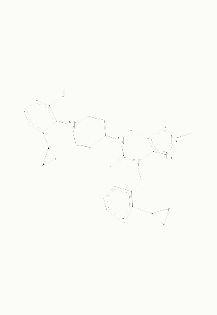 C[C@@H]1c2cn(C)nc2N(Cc2ccccc2C2CC2)C(=O)N1C1CCN(c2c(F)cccc2C2CC2)CC1